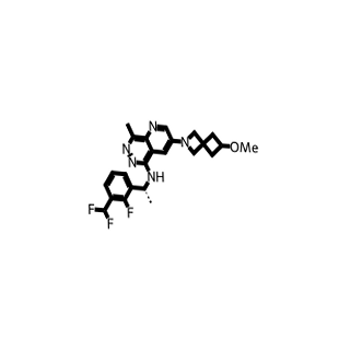 COC1CC2(C1)CN(c1cnc3c(C)nnc(N[C@H](C)c4cccc(C(F)F)c4F)c3c1)C2